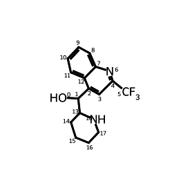 OC(c1cc(C(F)(F)F)nc2ccccc12)C1CCCCN1